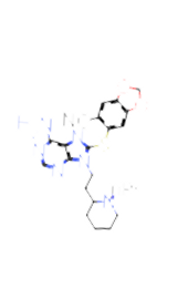 CCCN1CCCCC1CCn1c(Sc2cc3c(cc2C#N)OCO3)nc2c(N)ncnc21